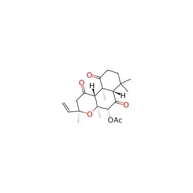 C=C[C@@]1(C)CC(=O)[C@H]2[C@](C)(O1)[C@@H](OC(C)=O)C(=O)[C@H]1C(C)(C)CCC(=O)[C@@]12C